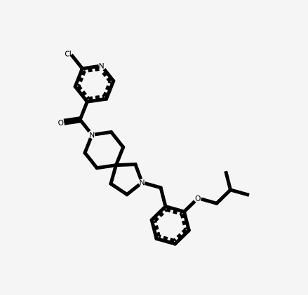 CC(C)COc1ccccc1CN1CCC2(CCN(C(=O)c3ccnc(Cl)c3)CC2)C1